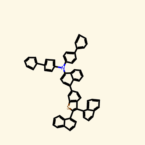 c1ccc(-c2ccc(N(c3ccc(-c4ccccc4)cc3)c3ccc(-c4ccc5c(-c6cccc7ccccc67)c(-c6cccc7ccccc67)sc5c4)c4ccccc34)cc2)cc1